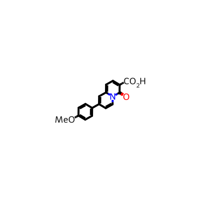 COc1ccc(-c2ccn3c(=O)c(C(=O)O)ccc3c2)cc1